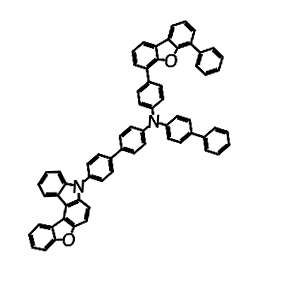 c1ccc(-c2ccc(N(c3ccc(-c4ccc(-n5c6ccccc6c6c7c(ccc65)oc5ccccc57)cc4)cc3)c3ccc(-c4cccc5c4oc4c(-c6ccccc6)cccc45)cc3)cc2)cc1